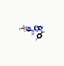 C[C@@H](c1ccc(F)cc1)n1ncc2ncc(Nc3cc(OC(F)F)[nH]n3)nc21